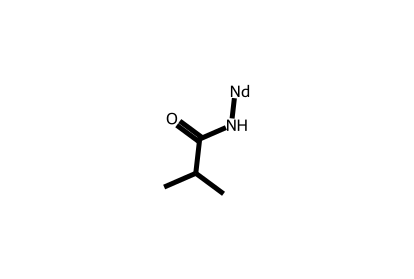 CC(C)C(=O)[NH][Nd]